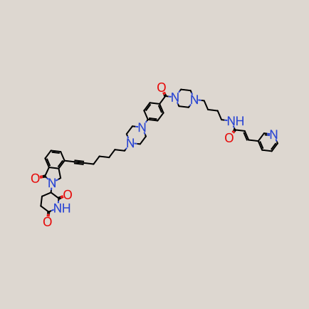 O=C(/C=C/c1cccnc1)NCCCCN1CCN(C(=O)c2ccc(N3CCN(CCCCCC#Cc4cccc5c4CN(C4CCC(=O)NC4=O)C5=O)CC3)cc2)CC1